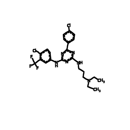 CCN(CC)CCCNc1nc(Nc2ccc(Cl)c(C(F)(F)F)c2)nc(-c2ccc(Cl)cc2)n1